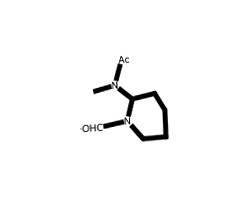 CC(=O)N(C)C1CCCCN1[C]=O